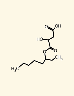 CCCCCC(CC)OC(=O)C(O)CC(=O)O